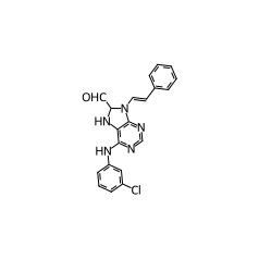 O=CC1Nc2c(Nc3cccc(Cl)c3)ncnc2N1C=Cc1ccccc1